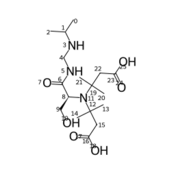 CC(C)NCNC(=O)[C@H](CO)N(C(C)(C)CC(=O)O)C(C)(C)CC(=O)O